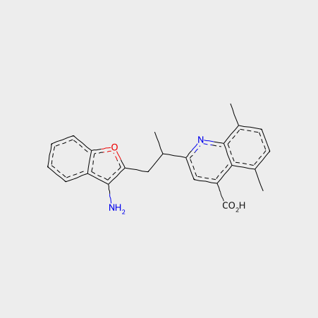 Cc1ccc(C)c2c(C(=O)O)cc(C(C)Cc3oc4ccccc4c3N)nc12